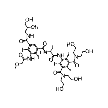 COCC(=O)Nc1c(I)c(C(=O)NCC(O)CO)cc(C(=O)NC(I)C(=O)Nc2c(I)c(C(=O)N(CCO)CCO)c(I)c(C(=O)N(CCO)CCO)c2I)c1I